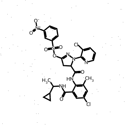 Cc1cc(Cl)cc(C(=O)NC(C)C2CC2)c1NC(=O)C1CC(OS(=O)(=O)c2cccc([N+](=O)[O-])c2)=NN1c1ncccc1Cl